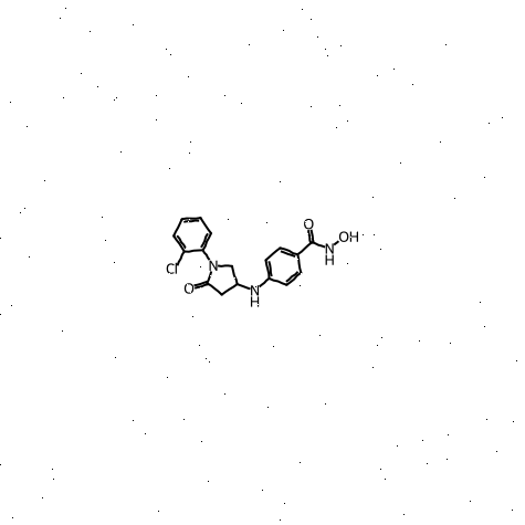 O=C(NO)c1ccc(NC2CC(=O)N(c3ccccc3Cl)C2)cc1